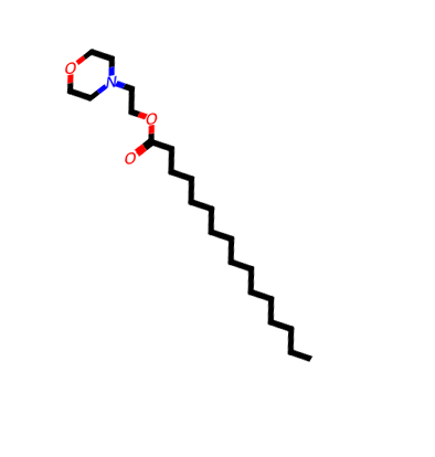 CCCCCCCCCCCCCCCC(=O)OCCN1CCOCC1